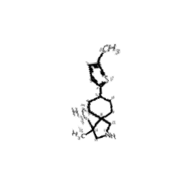 Cc1ccc([C]2CCC3(CC2)CNCC3(C)C)s1